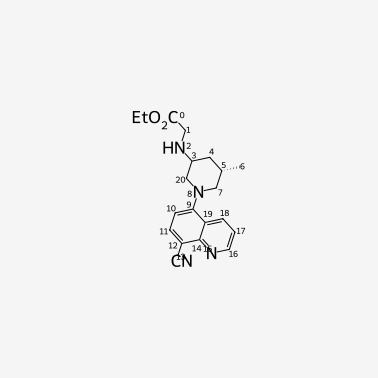 CCOC(=O)CNC1C[C@H](C)CN(c2ccc(C#N)c3ncccc23)C1